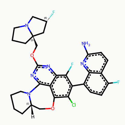 Nc1ccc2c(F)ccc(-c3c(Cl)c4c5c(nc(OC[C@@]67CCCN6C[C@H](F)C7)nc5c3F)N3CCCC[C@H]3CO4)c2n1